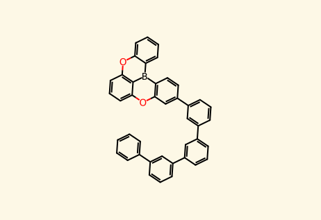 c1ccc(-c2cccc(-c3cccc(-c4cccc(-c5ccc6c(c5)Oc5cccc7c5B6c5ccccc5O7)c4)c3)c2)cc1